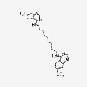 FC(F)(F)c1ccc2c(NCCCCCCCCCNc3ncnc4cc(C(F)(F)F)ccc34)ncnc2c1